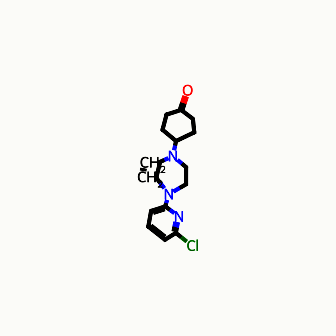 C=C.O=C1CCC(N2CCN(c3cccc(Cl)n3)CC2)CC1